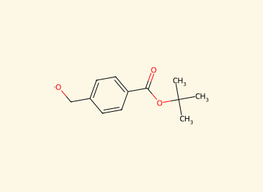 CC(C)(C)OC(=O)c1ccc(C[O])cc1